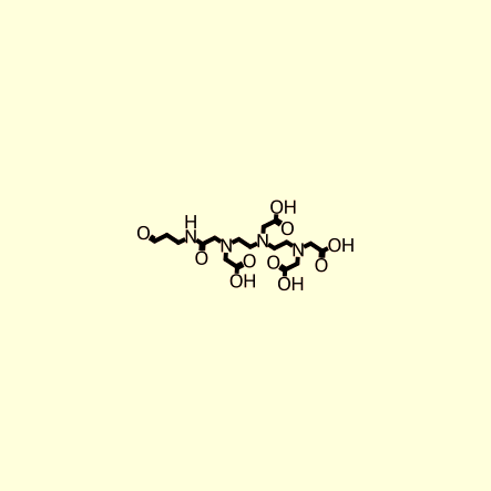 O=CCCNC(=O)CN(CCN(CCN(CC(=O)O)CC(=O)O)CC(=O)O)CC(=O)O